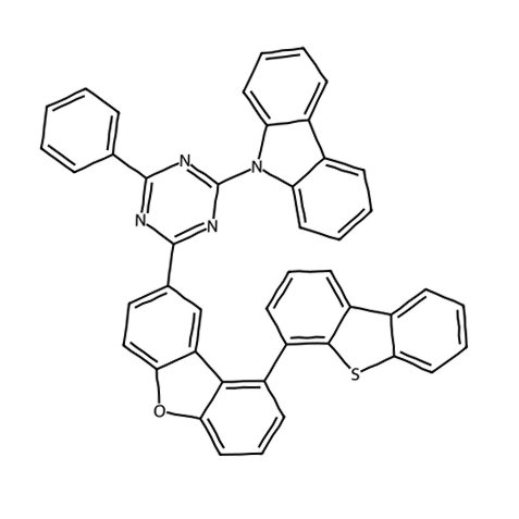 c1ccc(-c2nc(-c3ccc4oc5cccc(-c6cccc7c6sc6ccccc67)c5c4c3)nc(-n3c4ccccc4c4ccccc43)n2)cc1